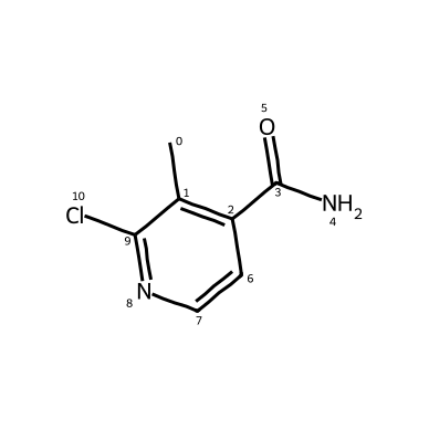 Cc1c(C(N)=O)ccnc1Cl